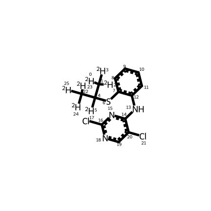 [2H]C([2H])([2H])C([2H])(Sc1ccccc1Nc1nc(Cl)ncc1Cl)C([2H])([2H])[2H]